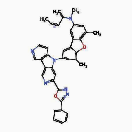 C=C(/C=C\C)N(C)c1cc(C)c2oc3c(C)cc(-n4c5ccncc5c5cnc(-c6nnc(-c7ccccc7)o6)cc54)cc3c2c1